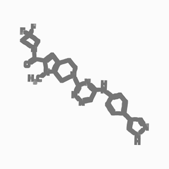 Cn1c(C(=O)N2CC(F)(F)C2)cc2c1CN(c1nncc(Nc3ccc(-c4cn[nH]c4)cc3)n1)CC2